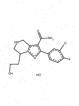 Cl.NC(=O)c1c(-c2ccc(F)c(Cl)c2)nn2c1CNCC2CCO